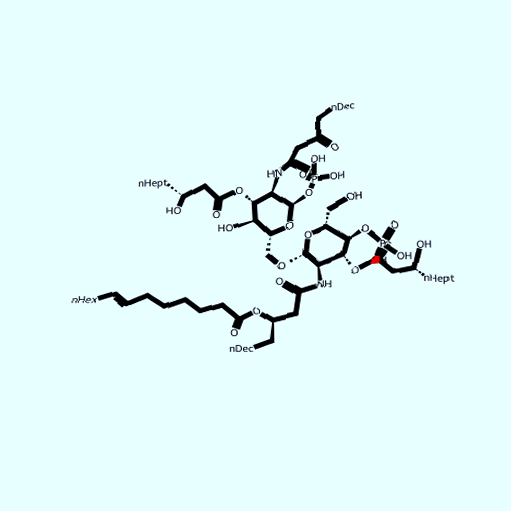 CCCCCC/C=C/CCCCCC(=O)O[C@H](CCCCCCCCCCC)CC(=O)N[C@H]1[C@H](OC[C@H]2O[C@H](OP(=O)(O)O)[C@H](NC(=O)CC(=O)CCCCCCCCCCC)[C@@H](OC(=O)C[C@H](O)CCCCCCC)[C@@H]2O)O[C@H](CO)[C@@H](OP(=O)(O)O)[C@@H]1OC(=O)C[C@H](O)CCCCCCC